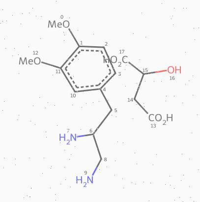 COc1ccc(CC(N)CN)cc1OC.O=C(O)CC(O)C(=O)O